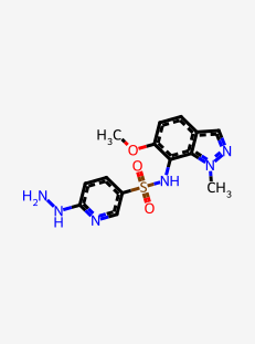 COc1ccc2cnn(C)c2c1NS(=O)(=O)c1ccc(NN)nc1